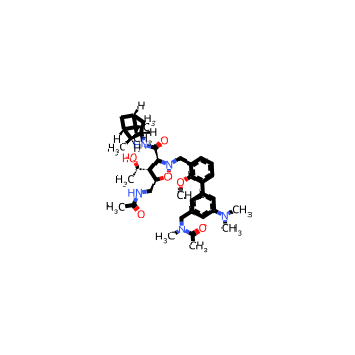 COc1c(CN2O[C@@H](CNC(C)=O)[C@H]([C@H](C)O)[C@H]2C(=O)N[C@H]2C[C@H]3C[C@@H]([C@@H]2C)C3(C)C)cccc1-c1cc(CN(C)C(C)=O)cc(N(C)C)c1